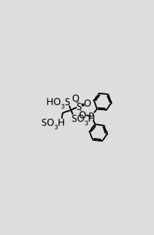 O=S(=O)(O)CC(S(=O)(=O)O)(S(=O)(=O)O)S(=O)(=O)OP(c1ccccc1)c1ccccc1